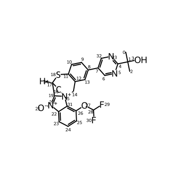 CC(C)(O)c1ncc(-c2ccc3c(c2)C[N@@+]24C[C@@H](S3)C2=[N+]([O-])c2cccc(OC(F)F)c24)cn1